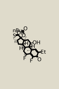 CCCCC(=O)O[C@]1(C(O)=S)[C@@H](C)C[C@H]2[C@@H]3C[C@H](F)C4=C(F)C(=O)C(CC)=C[C@]4(C)[C@H]3[C@@H](O)C[C@@]21C